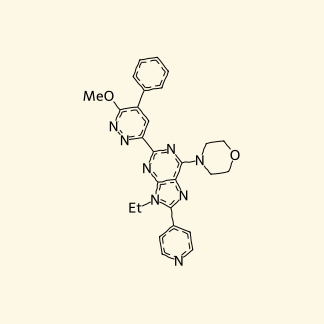 CCn1c(-c2ccncc2)nc2c(N3CCOCC3)nc(-c3cc(-c4ccccc4)c(OC)nn3)nc21